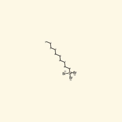 CCCCCCCCCC[Si](Br)(Br)Br